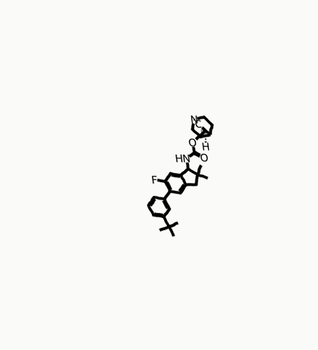 CC(C)(C)c1cccc(-c2cc3c(cc2F)C(NC(=O)O[C@H]2CN4CCC2CC4)C(C)(C)C3)c1